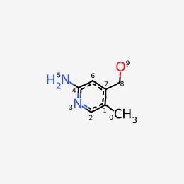 Cc1cnc(N)cc1C[O]